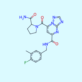 Cc1cc(CNC(=O)c2cc(C(=O)N3CCCC3C(N)=O)n3ncnc3n2)ccc1F